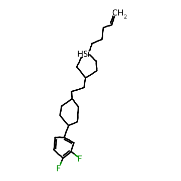 C=CCCC[SiH]1CCC(CCC2CCC(c3ccc(F)c(F)c3)CC2)CC1